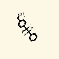 C=Cc1ccc(C(F)(F)C(F)(F)c2ccccc2)cc1